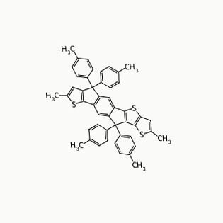 Cc1ccc(C2(c3ccc(C)cc3)c3cc4c(cc3-c3sc(C)cc32)C(c2ccc(C)cc2)(c2ccc(C)cc2)c2c-4sc3cc(C)sc23)cc1